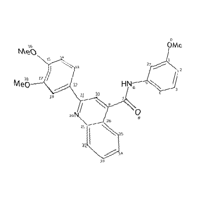 COc1cccc(NC(=O)c2cc(-c3ccc(OC)c(OC)c3)nc3ccccc23)c1